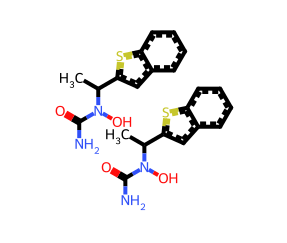 CC(c1cc2ccccc2s1)N(O)C(N)=O.CC(c1cc2ccccc2s1)N(O)C(N)=O